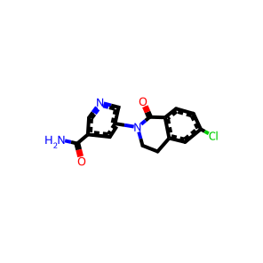 NC(=O)c1cncc(N2CCc3cc(Cl)ccc3C2=O)c1